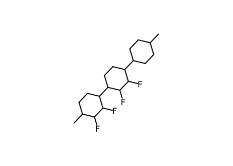 CC1CCC(C2CCC(C3CCC(C)C(F)C3F)C(F)C2F)CC1